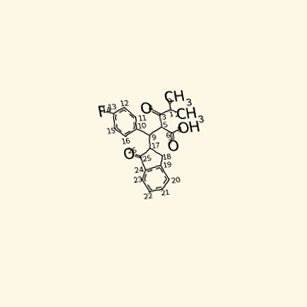 CC(C)C(=O)C(C(=O)O)C(c1ccc(F)cc1)C1Cc2ccccc2C1=O